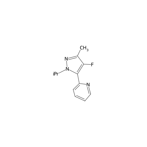 Cc1nn(C(C)C)c(-c2ccccn2)c1F